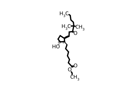 CCCCC(C)(C)C(=O)CC=C1CC[C@@H](O)[C@@H]1CCCCCCC(=O)OCC